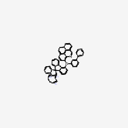 C1=C\CC/C=C2/C(=C/1)C1(c3ccccc32)c2ccccc2-c2c(N(c3cccc(-c4ccccc4)c3)c3ccc4ccc5cccc6cnc3c4c56)cccc21